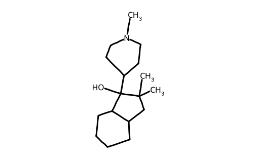 CN1CCC(C2(O)C3CCCCC3CC2(C)C)CC1